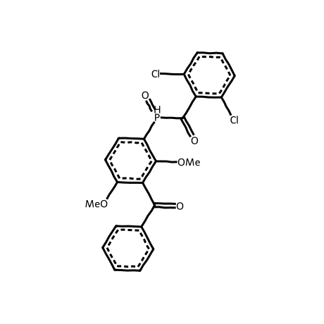 COc1ccc([PH](=O)C(=O)c2c(Cl)cccc2Cl)c(OC)c1C(=O)c1ccccc1